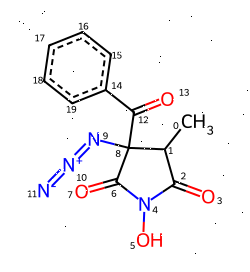 CC1C(=O)N(O)C(=O)C1(N=[N+]=[N-])C(=O)c1ccccc1